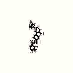 CCC1=C(c2ccc(NC(=O)c3cccc(F)c3F)cc2)CN(c2nnn(C)n2)CC1